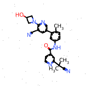 Cc1ccc(NC(=O)c2ccnc(C(C)(C)C#N)c2)cc1-c1cnc(N2CC(O)C2)c(C#N)c1